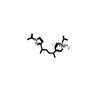 C/C=C(\C=C/N(N)C(C)C)C(C)CCC(C)c1ccn(C(C)C)n1